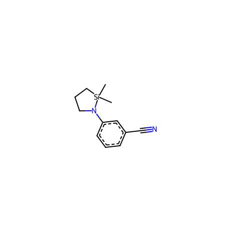 C[Si]1(C)CCCN1c1cccc(C#N)c1